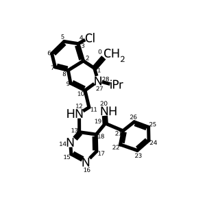 C=C1c2c(Cl)cccc2C=C(CNc2ncncc2C(=N)c2ccccc2)N1C(C)C